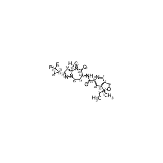 CC[C@@]1(C)OCc2cnc(C(=O)N[C@H]3CCn4nc([C@@H]5CC5(F)F)cc4N(C)C3=O)cc21